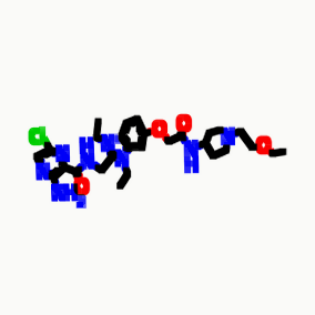 CCOCCN1CCC(NC(=O)COc2ccc3c(c2)n(CC)c(CNC(=O)c2nc(Cl)cnc2N)[n+]3CC)CC1